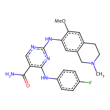 COc1cc2c(cc1Nc1ncc(C(N)=O)c(Nc3ccc(F)cc3)n1)CN(C)CC2